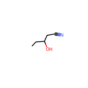 CCC(O)CC#N